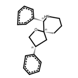 c1ccc([C@@H]2CO[C@]3(CCCN[C@H]3c3ccccc3)C2)cc1